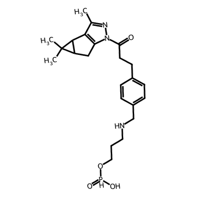 Cc1nn(C(=O)CCc2ccc(CNCCCO[PH](=O)O)cc2)c2c1C1C(C2)C1(C)C